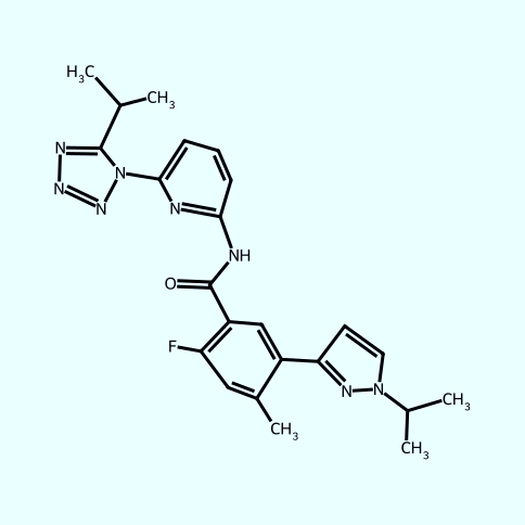 Cc1cc(F)c(C(=O)Nc2cccc(-n3nnnc3C(C)C)n2)cc1-c1ccn(C(C)C)n1